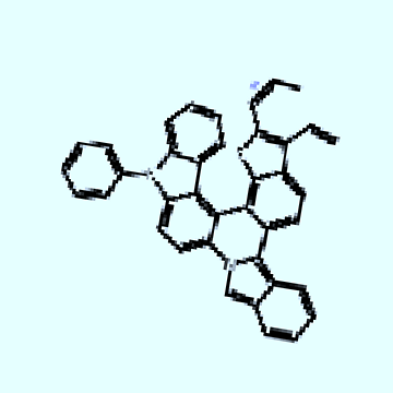 C=Cc1c(/C=C\C)sc2c1ccc1c2c2c3c4ccccc4n(-c4ccccc4)c3ccc2n2cc3ccccc3c12